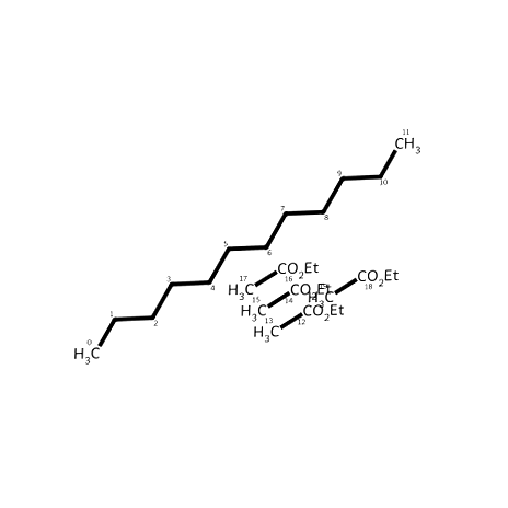 CCCCCCCCCCCC.CCOC(C)=O.CCOC(C)=O.CCOC(C)=O.CCOC(C)=O